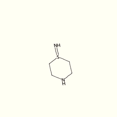 N=S1CCNCC1